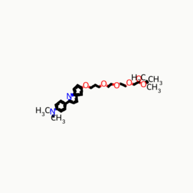 CN(C)c1ccc(-c2ccc3cc(OCCCOCCOCCOCC(=O)OC(C)(C)C)ccc3n2)cc1